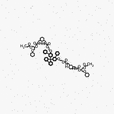 C=CC(=O)OCC(COC1CCCCC1)OC(=O)NCC1CCCC(CNC(=O)OCCOc2ccc(C3(c4ccc(OCCOC(=O)NCC5CCCC(CNC(=O)OC(COC(=O)C=C)COC6CCCCC6)C5)c(-c5ccccc5)c4)c4ccccc4-c4ccccc43)cc2-c2ccccc2)C1